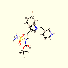 CN(C)S(=O)(=O)N(CCc1cn(Cc2cccnc2)c2cc(Br)ccc12)C(=O)OC(C)(C)C